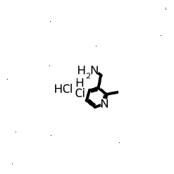 Cc1ncccc1CN.Cl.Cl